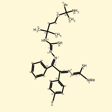 CN/C(S)=N/N=C(/C(=N/N=C(\S)NC(C)(C)CCOC(C)(N)C(C)C)c1ccccc1)c1ccc(F)cc1